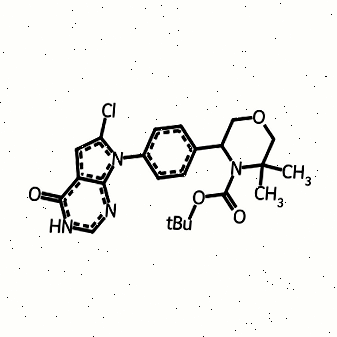 CC(C)(C)OC(=O)N1C(c2ccc(-n3c(Cl)cc4c(=O)[nH]cnc43)cc2)COCC1(C)C